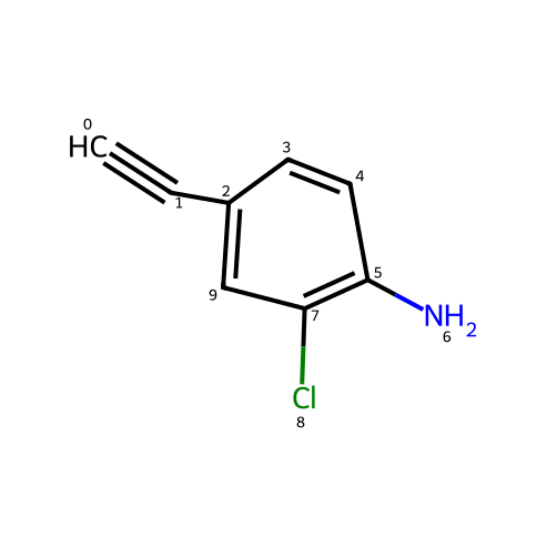 C#Cc1ccc(N)c(Cl)c1